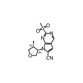 C[C@@H]1COC[C@@H]1n1c(C#N)cc2cnc(S(C)(=O)=O)nc21